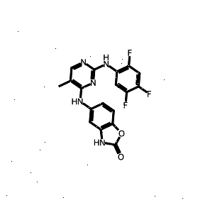 Cc1cnc(Nc2cc(F)c(F)cc2F)nc1Nc1ccc2oc(=O)[nH]c2c1